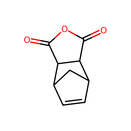 O=C1OC(=O)C2C3C=CC(C3)C12